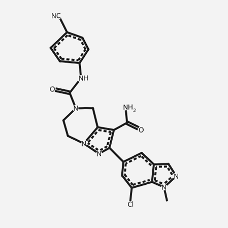 Cn1ncc2cc(-c3nn4c(c3C(N)=O)CN(C(=O)Nc3ccc(C#N)cc3)CC4)cc(Cl)c21